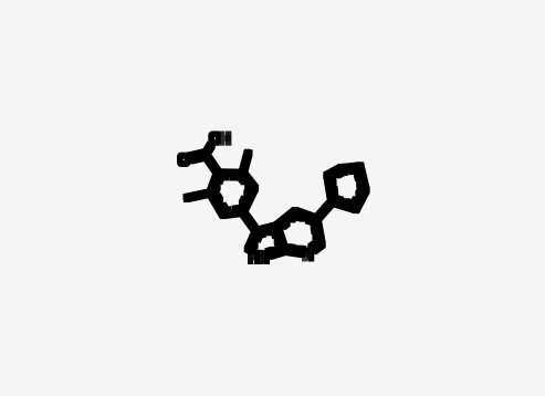 Cc1cc(-c2c[nH]c3ncc(-c4ccccc4)cc23)cc(C)c1C(=O)O